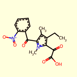 CCc1c(C)c(C(=O)c2ccccc2[N+](=O)[O-])n(C)c1C(=O)C(=O)O